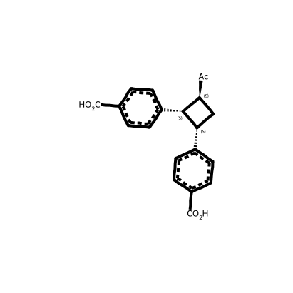 CC(=O)[C@H]1C[C@H](c2ccc(C(=O)O)cc2)[C@@H]1c1ccc(C(=O)O)cc1